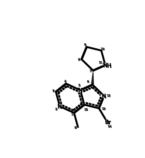 Cc1nccn2c([C@@H]3CCCN3)nc(Br)c12